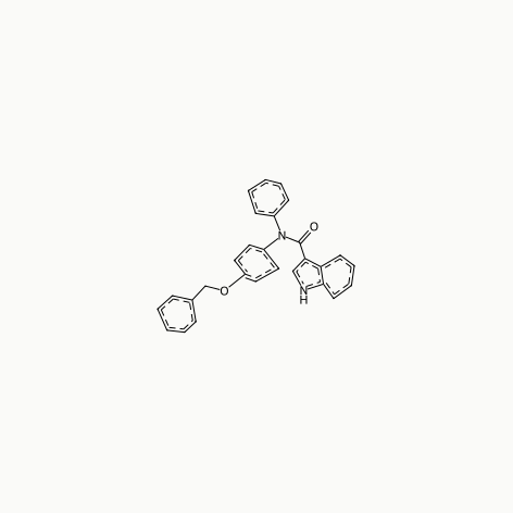 O=C(c1c[nH]c2ccccc12)N(c1ccccc1)c1ccc(OCc2ccccc2)cc1